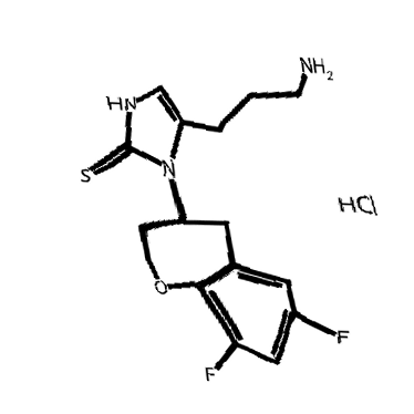 Cl.NCCCc1c[nH]c(=S)n1C1COc2c(F)cc(F)cc2C1